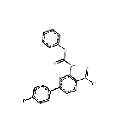 O=C(Nc1nc(-c2ccc(F)cc2)ccc1[N+](=O)[O-])Oc1ccccc1